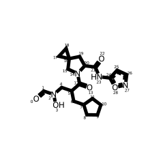 O=CN(O)CC(CC1CCCC1)C(=O)N1CC2(CC2)CC1C(=O)Nc1ccno1